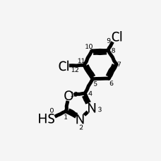 Sc1nnc(-c2ccc(Cl)cc2Cl)o1